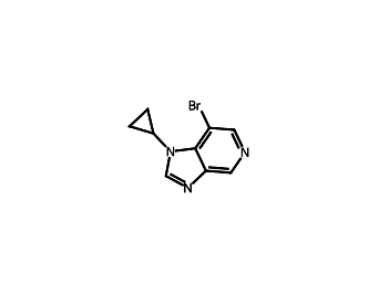 Brc1cncc2ncn(C3CC3)c12